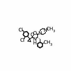 Cc1ccccc1C[C@H](NC(=O)C1(c2ccc(Cl)cc2Cl)CC1)C(=O)N1CCN(C)CC1